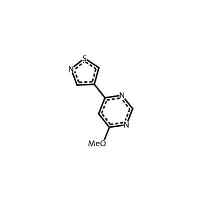 COc1cc(-c2cnsc2)ncn1